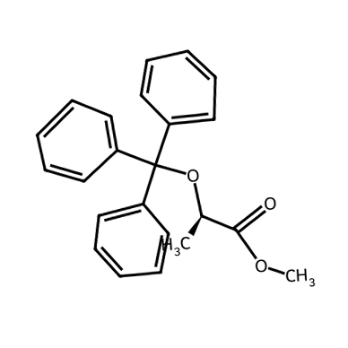 COC(=O)[C@@H](C)OC(c1ccccc1)(c1ccccc1)c1ccccc1